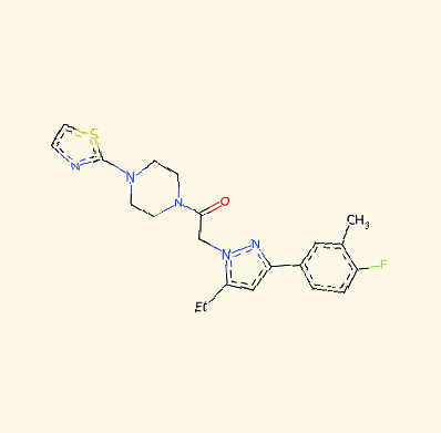 CCc1cc(-c2ccc(F)c(C)c2)nn1CC(=O)N1CCN(c2nccs2)CC1